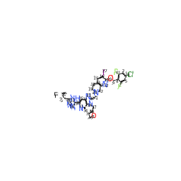 Fc1cc(Cl)cc(F)c1COc1nc2c(cc1I)CCN(Cc1nc3cc(-c4nnc(C(F)(F)F)[nH]4)ncc3n1C[C@@H]1CCO1)C2